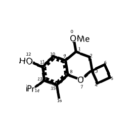 COC1CC2(CCC2)Oc2c1cc(O)c(C(C)C)c2C